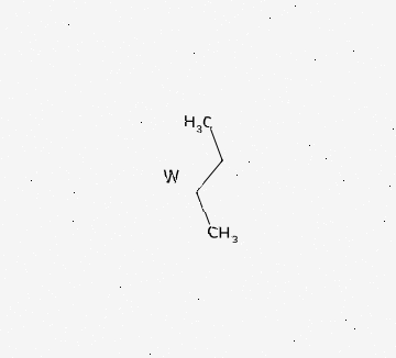 CCCC.[W]